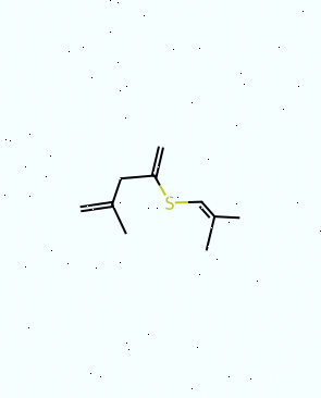 C=C(C)CC(=C)SC=C(C)C